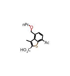 CCCOCc1ccc(C(C)=O)c2sc(C(=O)O)c(C)c12